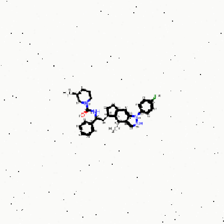 CC1CCCN(C(=O)NC(C[C@H]2CCC3=C2[C@@H](C)C2=CNN(c4ccc(F)cc4)C2=C3)c2ccccc2)C1